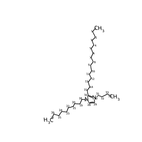 CCCCCCCCCCCCCCCCc1n(CCCCCCCCCC)cc[n+]1CCCC